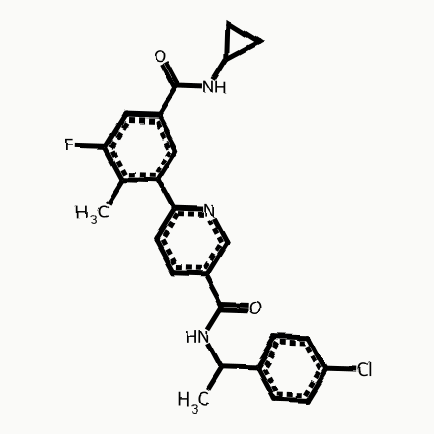 Cc1c(F)cc(C(=O)NC2CC2)cc1-c1ccc(C(=O)NC(C)c2ccc(Cl)cc2)cn1